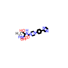 C[C@H](O)[C@@H](NC(=O)N1CCN(c2ccc(-c3cnccn3)cc2)CC1)C(=O)NO